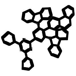 c1ccc(-c2nc(-c3ccccc3)nc(-c3cc(-n4c5ccccc5c5ccccc54)c(-c4ccc5c(ccc6ccccc65)c4)c(-n4c5ccccc5c5ccccc54)c3)n2)cc1